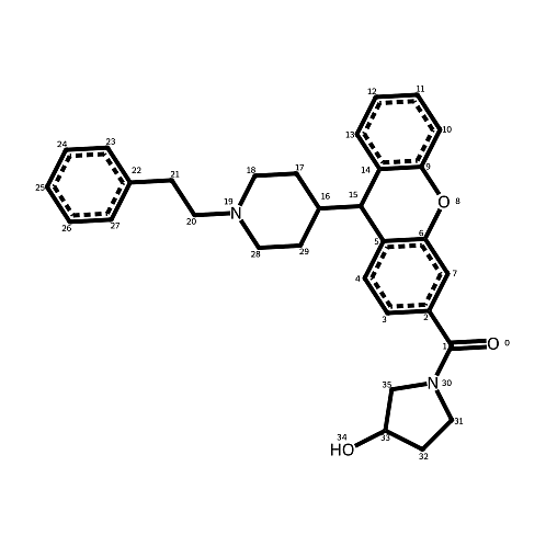 O=C(c1ccc2c(c1)Oc1ccccc1C2C1CCN(CCc2ccccc2)CC1)N1CCC(O)C1